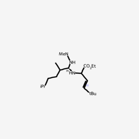 CCOC(=O)C(/C=C/C(C)(C)C)N[C@H](NNC)C(C)CCC(C)C